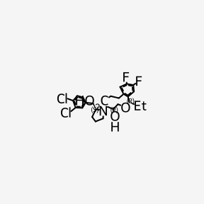 CC[C@@H](OC[C@H](O)CN1CCC[C@H]1Cc1ccc(Cl)c(Cl)c1)c1cc(F)c(F)cc1CCC(=O)O